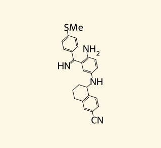 CSc1ccc(C(=N)c2cc(NC3CCCc4cc(C#N)ccc43)ccc2N)cc1